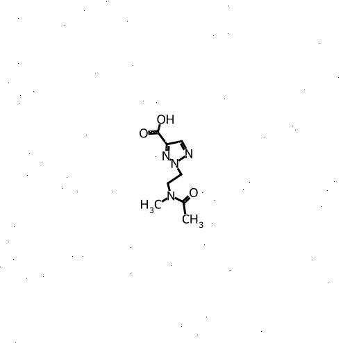 CC(=O)N(C)CCn1ncc(C(=O)O)n1